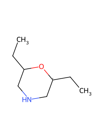 CC[C]1CNCC(CC)O1